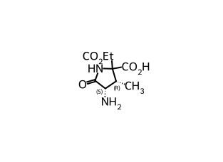 CCOC(=O)C1(C(=O)O)NC(=O)[C@@H](N)[C@H]1C